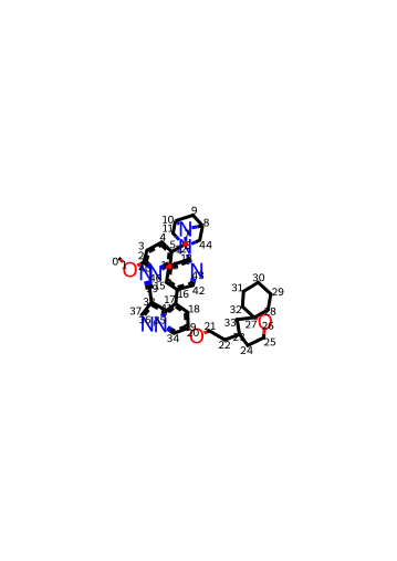 COc1ccc(CN2C3CC2CN(c2ccc(-c4cc(OCCC5CCOC6(CCCCC6)C5)cn5ncc(C#N)c45)cn2)C3)cn1